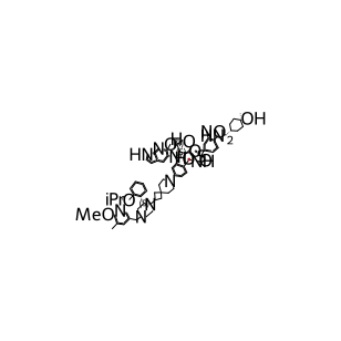 COc1ncc(CN2CCN(C3CC4(CCN(c5ccc(C(=O)NS(=O)(=O)c6ccc(NC[C@H]7CC[C@](C)(O)CC7)c([N+](=O)[O-])c6)c(N6c7cc8cc[nH]c8nc7O[C@H]7COCC[C@@H]76)c5)CC4)C3)[C@@H](c3ccccc3OC(C)C)C2)cc1C